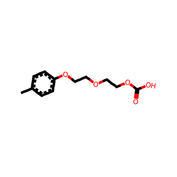 Cc1ccc(OCCOCCOC(=O)O)cc1